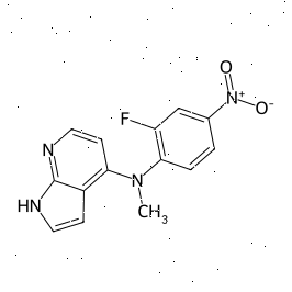 CN(c1ccc([N+](=O)[O-])cc1F)c1ccnc2[nH]ccc12